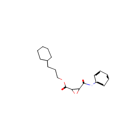 O=C(Nc1ccccc1)C1OC1C(=O)OCCCC1CCCCC1